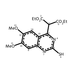 CCOC(=O)C(C(=O)OCC)c1nc(S)nc2cc(OC)c(OC)cc12